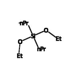 CC[CH][Si](CCC)(OCC)OCC